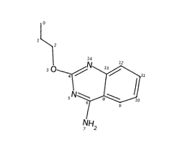 CCCOc1nc(N)c2ccccc2n1